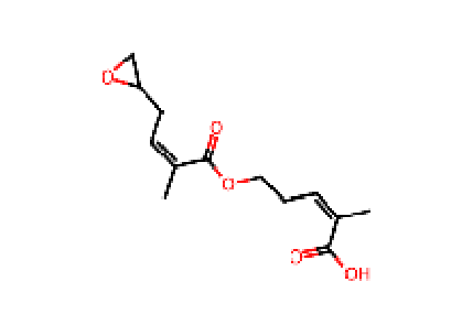 CC(=CCCOC(=O)C(C)=CCC1CO1)C(=O)O